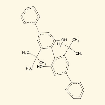 CC(C)(C)c1cc(-c2ccccc2)cc(O)c1-c1c(O)cc(-c2ccccc2)cc1C(C)(C)C